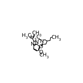 CCCC1CC(=O)N(C(C)n2c(C(CC)CC)nc3ccc(OC)cc32)C1